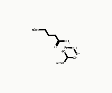 CC(C)NC(C)C.CCCCCC(O)O.CCCCCCCCCCCCCC(N)=O